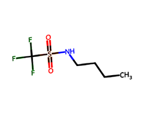 CCCCNS(=O)(=O)C(F)(F)F